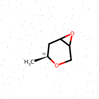 C[C@H]1CC2OC2CO1